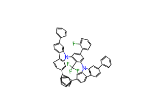 Fc1ccccc1-c1cc(-n2c3cc(-c4ccccc4)ccc3c3ccc(-c4ccccc4)cc32)c(C(F)(F)F)c(-n2c3cc(-c4ccccc4)ccc3c3ccc(-c4ccccc4)cc32)c1